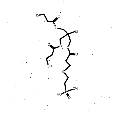 CCC(COC(=O)CCS)(COC(=O)CCS)COC(=O)CCSCCP(=O)(O)O